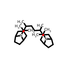 CC(CCC(C)N1CC2CCC(C1)N2C(C)C)C1CC2CCC(C1)N2C(C)C